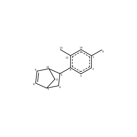 Cc1ccc([C]2CC3C=CC2C3)c(C)c1